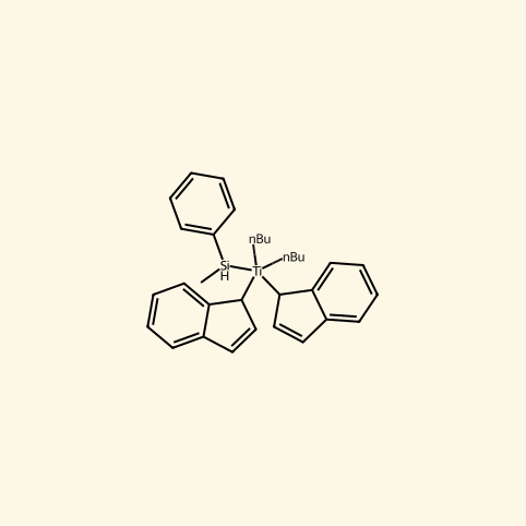 CCC[CH2][Ti]([CH2]CCC)([CH]1C=Cc2ccccc21)([CH]1C=Cc2ccccc21)[SiH](C)c1ccccc1